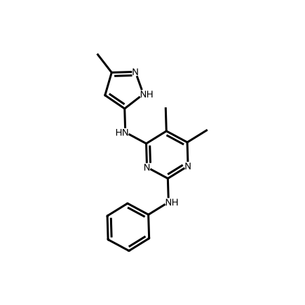 Cc1cc(Nc2nc(Nc3ccccc3)nc(C)c2C)[nH]n1